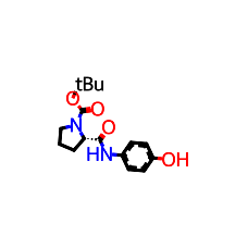 CC(C)(C)OC(=O)N1CCC[C@H]1C(=O)Nc1ccc(O)cc1